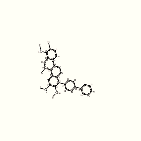 COc1cc2c(ccc3c4ccc(C)c(OC)c4c[n+](C)c23)c(-c2ccc(-c3ccccc3)cc2)c1OC